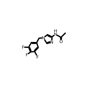 CC(=O)Nc1cn(Cc2cc(F)c(F)c(F)c2)cn1